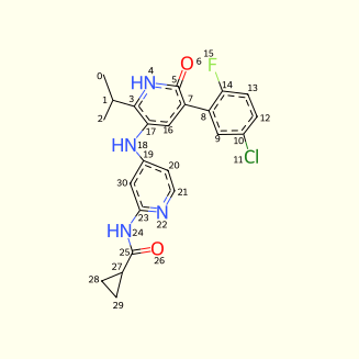 CC(C)c1[nH]c(=O)c(-c2cc(Cl)ccc2F)cc1Nc1ccnc(NC(=O)C2CC2)c1